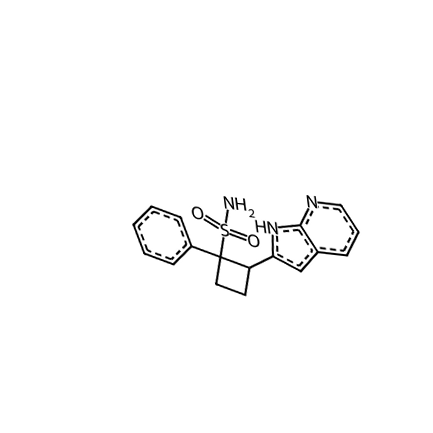 NS(=O)(=O)C1(c2ccccc2)CCC1c1cc2cccnc2[nH]1